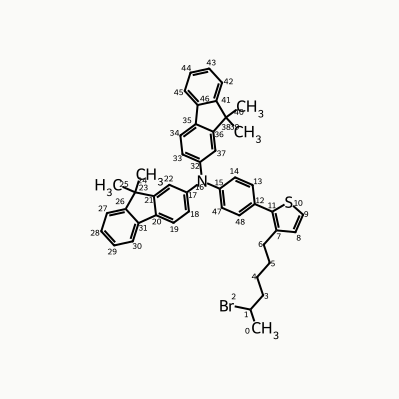 CC(Br)CCCCc1ccsc1-c1ccc(N(c2ccc3c(c2)C(C)(C)c2ccccc2-3)c2ccc3c(c2)C(C)(C)c2ccccc2-3)cc1